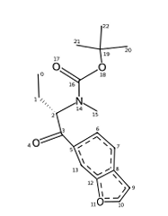 CC[C@@H](C(=O)c1ccc2ccoc2c1)N(C)C(=O)OC(C)(C)C